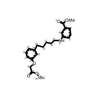 COC(=O)c1cccc(NCCCCCc2cccc(OCC(=O)OC(C)(C)C)c2)c1